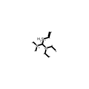 C=C[SiH2]C(N(C)C)N(CC)CC